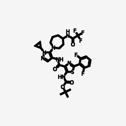 CC(C)(C)OC(=O)Nc1sc(-c2c(F)cccc2F)nc1C(=O)Nc1cnn(C2CC2)c1N1CCCC(NC(=O)C(F)(F)F)CC1